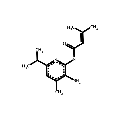 Bc1c(C)cc(C(C)C)nc1NC(=O)C=C(C)C